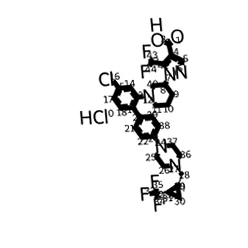 Cl.O=C(O)c1cnn(C2CCCN(c3cc(Cl)ccc3-c3ccc(N4CCN(C[C@@H]5C[C@@H]5C(F)(F)F)CC4)cc3)C2)c1C(F)F